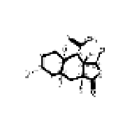 CC(=O)[C@H]1[C@@H]2CC[C@@H](C)C[C@H]2C[C@H]2C(=O)O[C@H](C)[C@@H]12